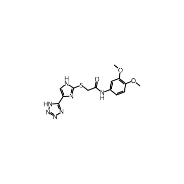 COc1ccc(NC(=O)CSc2nc(-c3nnn[nH]3)c[nH]2)cc1OC